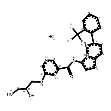 Cl.O=C(Nc1cnc2ccc(-c3ccccc3C(F)(F)F)nn12)c1cncc(OC[C@@H](O)CO)n1